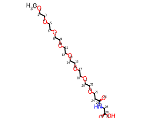 COCCOCCOCCOCCOCCOCCOCCOCCC(=O)NCC(=O)O